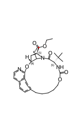 CCOC(=O)[C@@H]1C[C@H]2Oc3nccc4ccc(cc34)CCCCCOC(=O)N[C@@H](C(C)(C)C)C(=O)N1C2SC